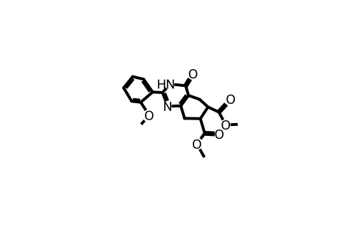 COC(=O)C1Cc2nc(-c3ccccc3OC)[nH]c(=O)c2CC1C(=O)OC